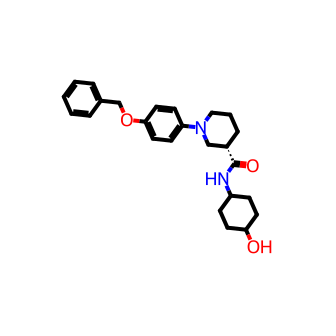 O=C(NC1CCC(O)CC1)[C@H]1CCCN(c2ccc(OCc3ccccc3)cc2)C1